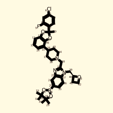 CC1(c2ccc(Cl)cc2F)Oc2cccc(C3CCN(Cc4nc5cc(B6OC(C)(C)C(C)(C)O6)ccc5n4C[C@@H]4CCO4)CC3)c2O1